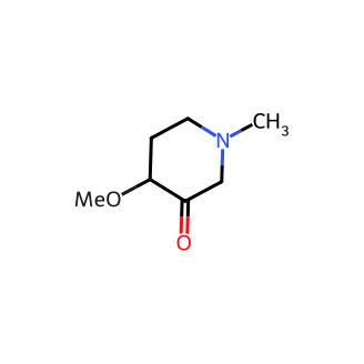 COC1CCN(C)CC1=O